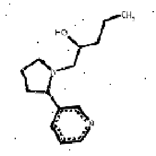 CCCC(O)CN1CCCC1c1cccnc1